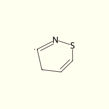 [C]1=NSC=CC1